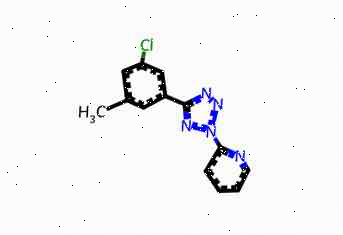 Cc1cc(Cl)cc(-c2nnn(-c3ccccn3)n2)c1